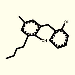 CCCCc1cc(C)cc(Cc2ccccc2O)c1O